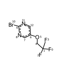 FC(F)(F)COc1cnc(Br)nc1